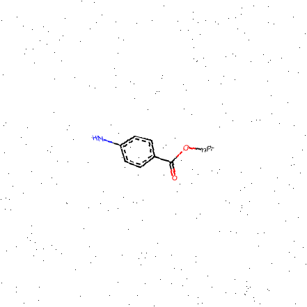 CCCOC(=O)c1ccc([NH])cc1